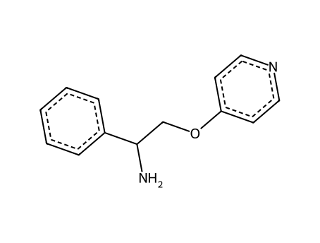 NC(COc1ccncc1)c1ccccc1